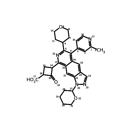 Cc1cc(-c2c(C3CCOCC3)nc(C3CC(C(=O)O)C3=O)c3cc4c(cnn4C4CCCCO4)cc23)ccn1